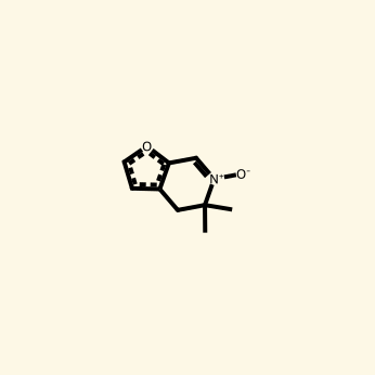 CC1(C)Cc2ccoc2C=[N+]1[O-]